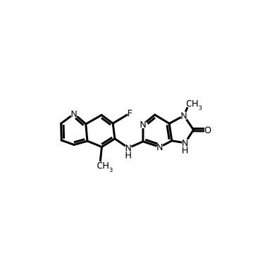 Cc1c(Nc2ncc3c(n2)[nH]c(=O)n3C)c(F)cc2ncccc12